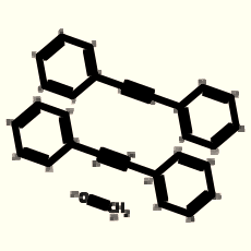 C(#Cc1ccccc1)c1ccccc1.C(#Cc1ccccc1)c1ccccc1.C=O